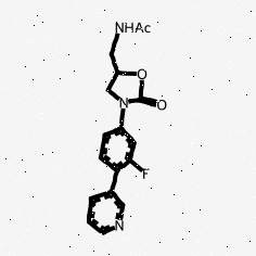 CC(=O)NCC1CN(c2ccc(-c3cccnc3)c(F)c2)C(=O)O1